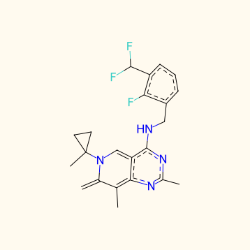 C=C1C(C)=c2nc(C)nc(NCc3cccc(C(F)F)c3F)c2=CN1C1(C)CC1